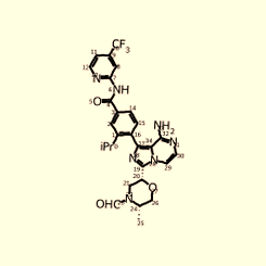 CC(C)c1cc(C(=O)Nc2cc(C(F)(F)F)ccn2)ccc1-c1nc([C@H]2CN(C=O)[C@@H](C)CO2)n2ccnc(N)c12